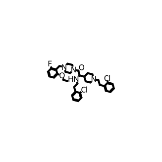 CCOc1cccc(F)c1CN1CCN(C(=O)C(NCCc2ccccc2Cl)C2CCN(CCc3ccccc3Cl)CC2)CC1